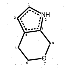 [c]1c[nH]c2c1CCOC2